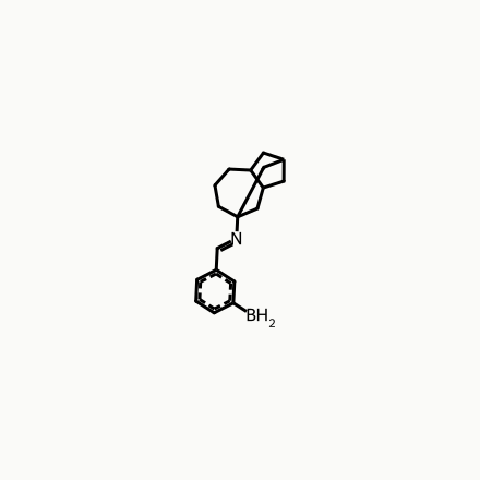 Bc1cccc(/C=N/C23CCCC4CC(CC4C2)C3)c1